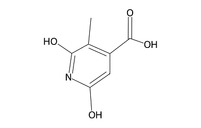 Cc1c(C(=O)O)cc(O)nc1O